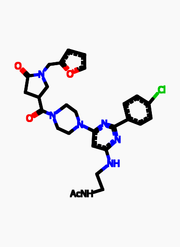 CC(=O)NCCNc1cc(N2CCN(C(=O)C3CC(=O)N(Cc4ccco4)C3)CC2)nc(-c2ccc(Cl)cc2)n1